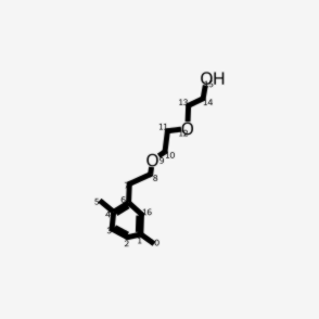 Cc1ccc(C)c(CCOCCOCCO)c1